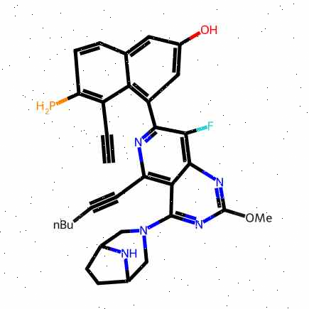 C#Cc1c(P)ccc2cc(O)cc(-c3nc(C#CCCCC)c4c(N5CC6CCC(C5)N6)nc(OC)nc4c3F)c12